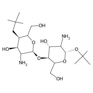 CC(C)(C)C[C@H]1C(CO)O[C@@H](O[C@@H]2C(CO)O[C@@H](OC(C)(C)C)C(N)[C@H]2O)C(N)[C@H]1O